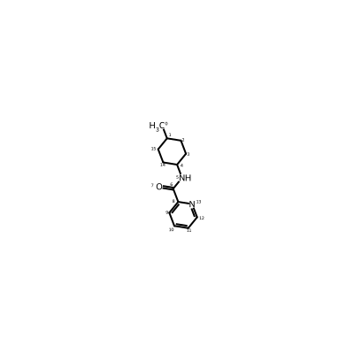 CC1CCC(NC(=O)c2ccccn2)CC1